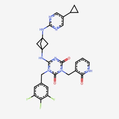 O=c1[nH]cccc1Cn1c(=O)nc(NC23CC(Nc4ncc(C5CC5)cn4)(C2)C3)n(Cc2cc(F)c(F)c(F)c2)c1=O